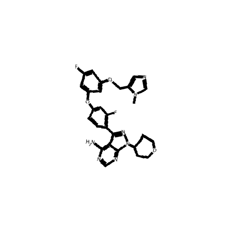 Cn1cncc1COc1cc(F)cc(Oc2ccc(-c3nn(C4CCOCC4)c4ncnc(N)c34)c(F)c2)c1